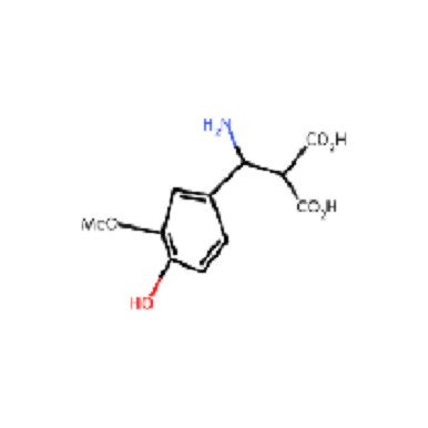 COc1cc(C(N)C(C(=O)O)C(=O)O)ccc1O